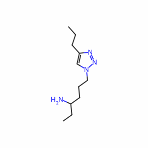 CCCc1cn(CCCC(N)CC)nn1